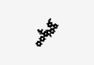 C=CC(=O)Nc1cc(Nc2cc(N3OCC[C@@H]3c3cccc(OC)c3)ncn2)c(OC)cc1N1CCC(N2CCOCC2)CC1